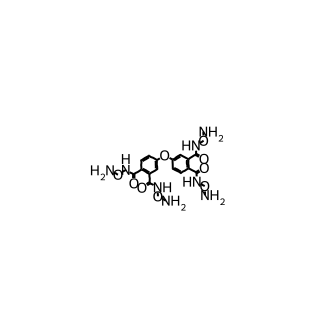 NONC(=O)c1ccc(Oc2ccc(C(=O)NON)c(C(=O)NON)c2)cc1C(=O)NON